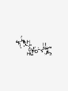 CC(NCCOC(C)(O)OCCNC(C)N(C)C)N(C)C